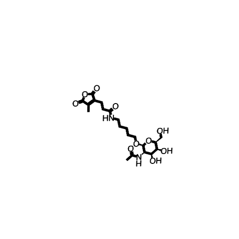 CC(=O)N[C@@H]1[C@@H](OCCCCCNC(=O)CCC2=C(C)C(=O)OC2=O)O[C@@H](CO)[C@@H](O)[C@H]1O